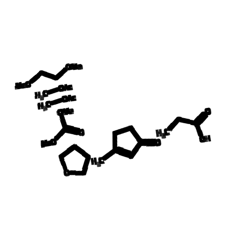 C1CCOC1.CC1=CC(=O)CC1.CCC(=O)O.COC(=O)OC.COC(C)=O.COC(C)=O.COCCOC